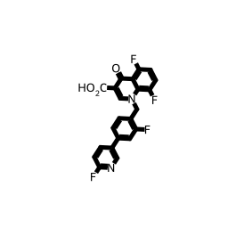 O=C(O)c1cn(Cc2ccc(-c3ccc(F)nc3)cc2F)c2c(F)ccc(F)c2c1=O